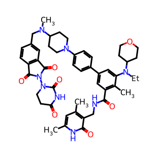 CCN(c1cc(-c2ccc(N3CCC(N(C)Cc4ccc5c(c4)C(=O)N(N4CCC(=O)NC4=O)C5=O)CC3)cc2)cc(C(=O)NCc2c(C)cc(C)[nH]c2=O)c1C)C1CCOCC1